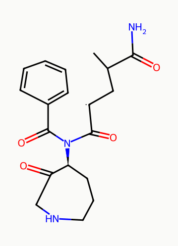 CC(C[CH]C(=O)N(C(=O)c1ccccc1)[C@H]1CCCNCC1=O)C(N)=O